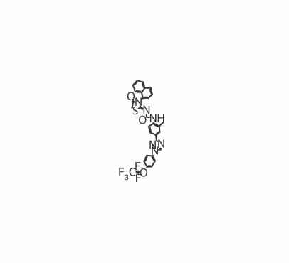 Cc1cc(-c2ncn(-c3ccc(OC(F)(F)C(F)(F)F)cc3)n2)ccc1NC(=O)N=C1SCC(=O)N1c1cccc2ccccc12